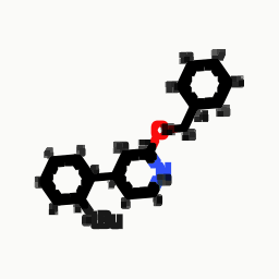 CC(C)(C)c1ccccc1-c1ccnc(OCc2ccccc2)c1